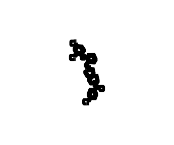 O=C(c1ccc(Cl)cc1)N1CCC2(CCN(Cc3ccccc3Oc3ccc(Cl)cc3Cl)CC2)CC1